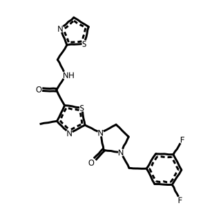 Cc1nc(N2CCN(Cc3cc(F)cc(F)c3)C2=O)sc1C(=O)NCc1nccs1